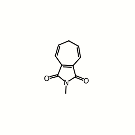 CN1C(=O)C2=C(C=CCC=C2)C1=O